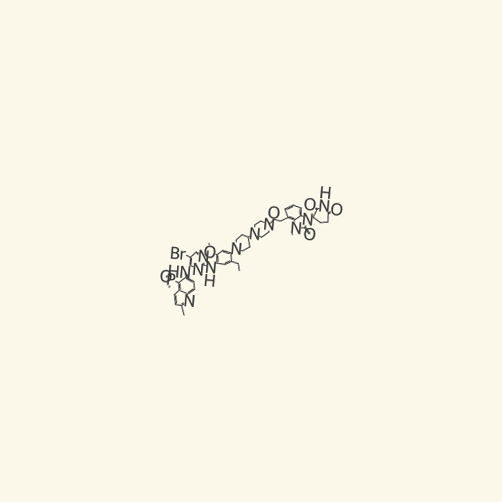 CCc1cc(Nc2ncc(Br)c(Nc3ccc4nc(C)ccc4c3P(C)(C)=O)n2)c(OC)cc1N1CCC(N2CCN(C(=O)Cc3cccc4c3n(C)c(=O)n4C3CCC(=O)NC3=O)CC2)CC1